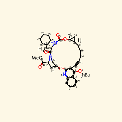 CCCCOc1c2c(nc3ccccc13)O[C@@H]1C[C@@H](C(=O)OC)N(C1)C(=O)[C@H](C1(C)CCCCC1)NC(=O)O[C@@H]1C[C@H]1CCCC#C2